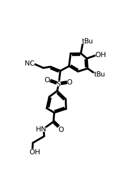 CC(C)(C)c1cc(C(=CCC#N)S(=O)(=O)c2ccc(C(=O)NCCO)cc2)cc(C(C)(C)C)c1O